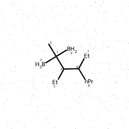 BC(B)(C)C(CC)C(CC)CCC